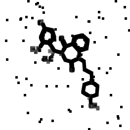 C[C@H](c1ccc(Cl)cc1N)N1CC(=O)N(CCCN2CCN(C)CC2)c2ccccc2C1=O